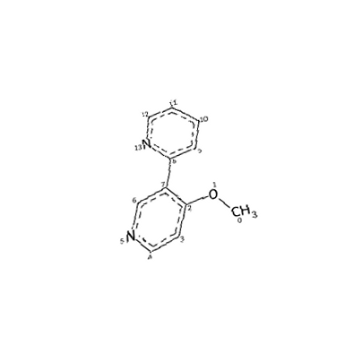 COc1ccncc1-c1ccccn1